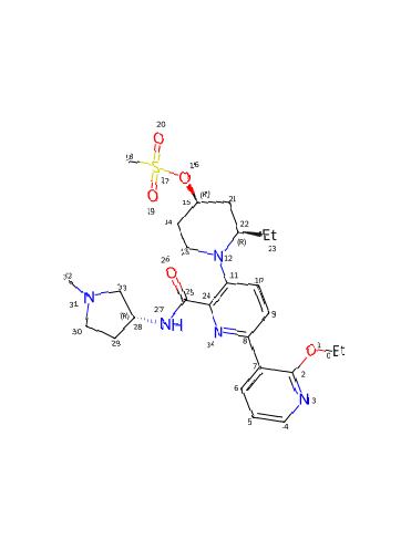 CCOc1ncccc1-c1ccc(N2CC[C@@H](OS(C)(=O)=O)C[C@H]2CC)c(C(=O)N[C@@H]2CCN(C)C2)n1